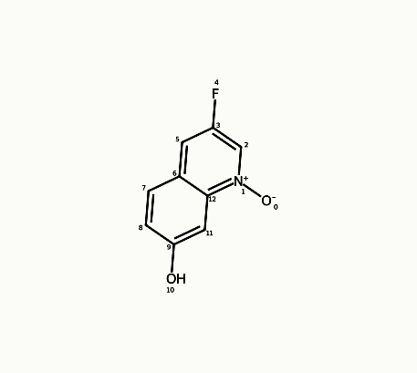 [O-][n+]1cc(F)cc2ccc(O)cc21